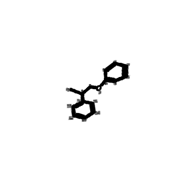 CC(COc1ccccc1)c1ccccc1